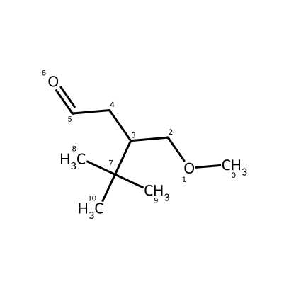 COCC(CC=O)C(C)(C)C